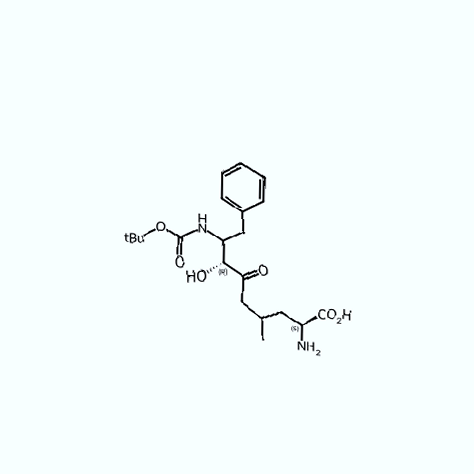 CC(CC(=O)[C@H](O)C(Cc1ccccc1)NC(=O)OC(C)(C)C)C[C@H](N)C(=O)O